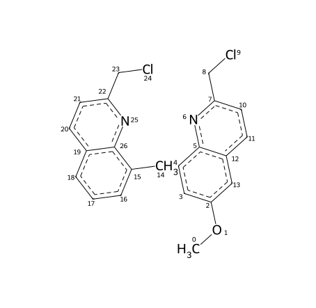 COc1ccc2nc(CCl)ccc2c1.Cc1cccc2ccc(CCl)nc12